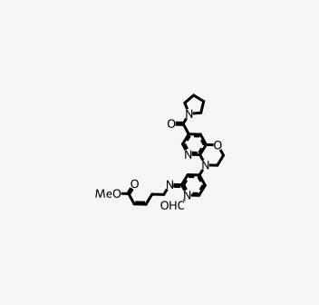 COC(=O)/C=C\CC/N=c1/cc(N2CCOc3cc(C(=O)N4CCCC4)cnc32)ccn1C=O